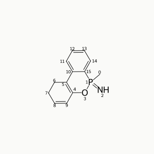 CP1(=N)OC2=C(CCC=C2)c2ccccc21